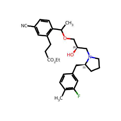 CCOC(=O)CCc1cc(C#N)ccc1C(C)OC[C@H](O)CN1CCC[C@H]1Cc1ccc(C)c(F)c1